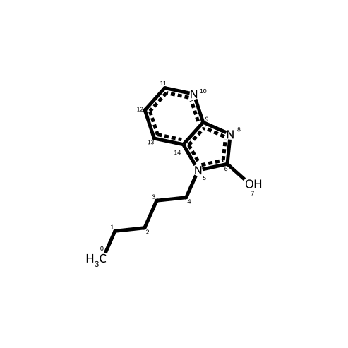 CCCCCn1c(O)nc2ncccc21